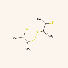 C=C(SSC(=C)C(S)C(C)CC)C(S)C(C)CC